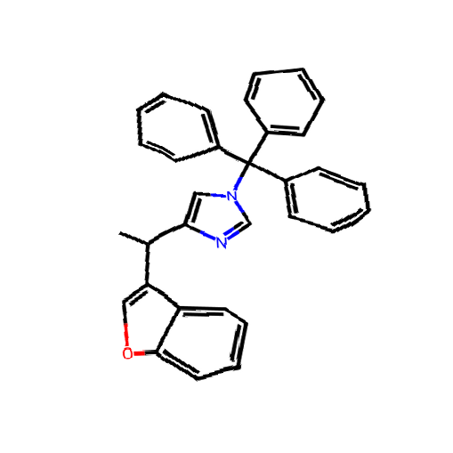 CC(c1cn(C(c2ccccc2)(c2ccccc2)c2ccccc2)cn1)c1coc2ccccc12